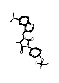 CC1C(=O)N(c2ccc(OC(F)(F)F)cc2)C(=O)N1Cc1ccnc2ccc(N(C)C)cc12